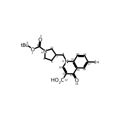 CC(C)(C)OC(=O)N1CCC(Cn2cc(C(=O)O)c(=O)c3cc(I)ccc32)C1